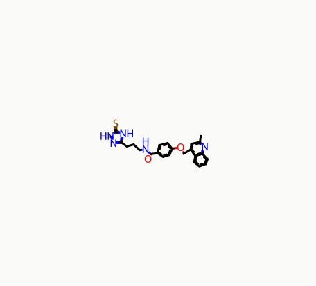 Cc1cc(COc2ccc(C(=O)NCCCc3n[nH]c(=S)[nH]3)cc2)c2ccccc2n1